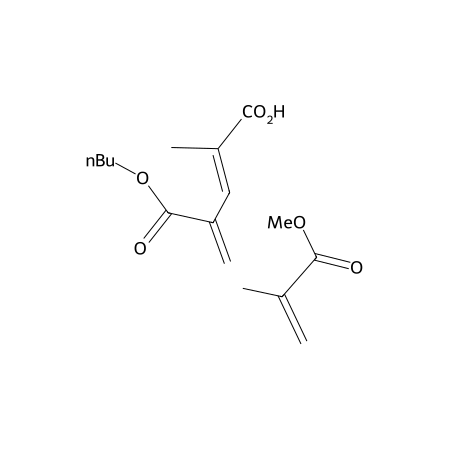 C=C(C)C(=O)OC.C=C(C=C(C)C(=O)O)C(=O)OCCCC